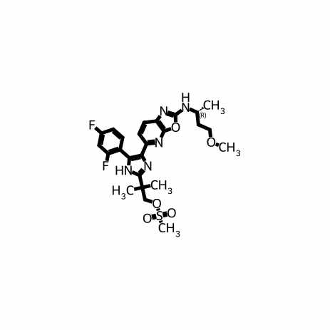 COCC[C@@H](C)Nc1nc2ccc(-c3nc(C(C)(C)COS(C)(=O)=O)[nH]c3-c3ccc(F)cc3F)nc2o1